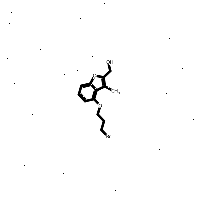 Cc1c(CO)oc2cccc(OCCCBr)c12